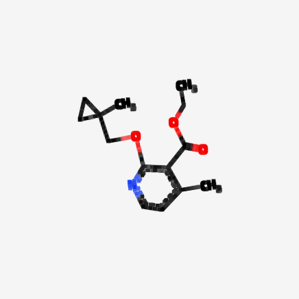 CCOC(=O)c1c(C)ccnc1OCC1(C)CC1